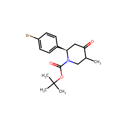 CC1CN(C(=O)OC(C)(C)C)[C@@H](c2ccc(Br)cc2)CC1=O